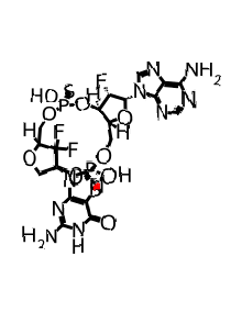 Nc1nc2c(ncn2[C@@]23CO[C@H](COP(O)(=S)O[C@H]4[C@H](F)[C@H](n5cnc6c(N)ncnc65)O[C@@H]4COP(O)(=S)O2)C3(F)F)c(=O)[nH]1